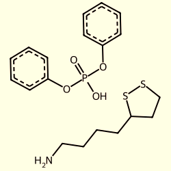 NCCCCC1CCSS1.O=P(O)(Oc1ccccc1)Oc1ccccc1